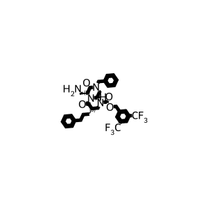 NC[C@H]1C(=O)N(Cc2ccccc2)C[C@@H]2N(C(=O)OCc3cc(C(F)(F)F)cc(C(F)(F)F)c3)C[C@H](CCCc3ccccc3)C(=O)N21